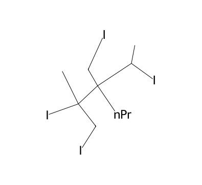 CCCC(CI)(C(C)I)C(C)(I)CI